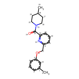 Cc1cccc(OCc2cccc(C(=O)N3CCC(C)CC3)n2)c1